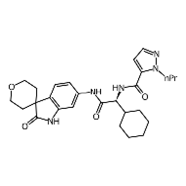 CCCn1nccc1C(=O)N[C@H](C(=O)Nc1ccc2c(c1)NC(=O)C21CCOCC1)C1CCCCC1